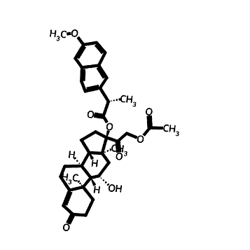 COc1ccc2cc([C@H](C)C(=O)O[C@]3(C(=O)COC(C)=O)CC[C@H]4[C@@H]5CCC6=CC(=O)CC[C@]6(C)[C@H]5[C@@H](O)C[C@@]43C)ccc2c1